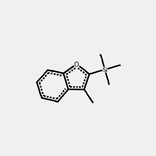 Cc1c([Si](C)(C)C)oc2ccccc12